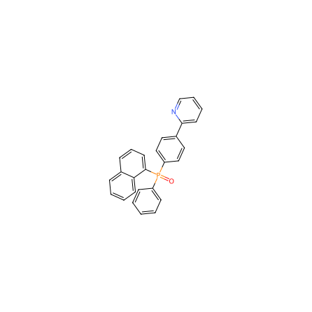 O=P(c1ccccc1)(c1ccc(-c2ccccn2)cc1)c1cccc2ccccc12